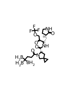 BC(B)(B)CCC(=O)N1CC2(CC2)C[C@H]1C(=O)N[C@@H](C[C@@H]1CCNC1=O)C(=O)COC(F)(F)F